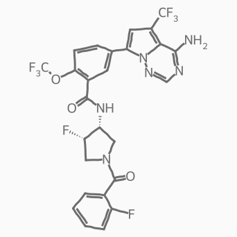 Nc1ncnn2c(-c3ccc(OC(F)(F)F)c(C(=O)N[C@@H]4CN(C(=O)c5ccccc5F)C[C@@H]4F)c3)cc(C(F)(F)F)c12